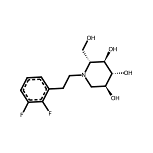 OC[C@@H]1[C@@H](O)[C@H](O)[C@@H](O)CN1CCc1cccc(F)c1F